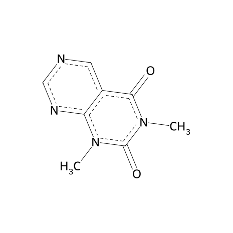 Cn1c(=O)c2cncnc2n(C)c1=O